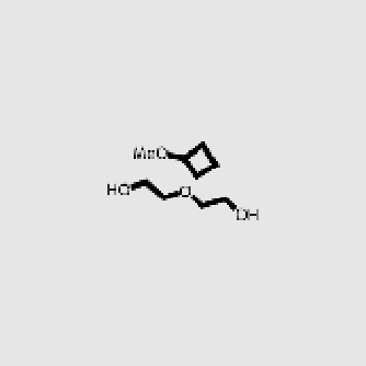 COC1CCC1.OCCOCCO